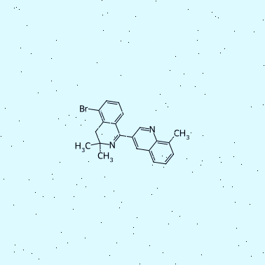 Cc1cccc2cc(C3=NC(C)(C)Cc4c(Br)cccc43)cnc12